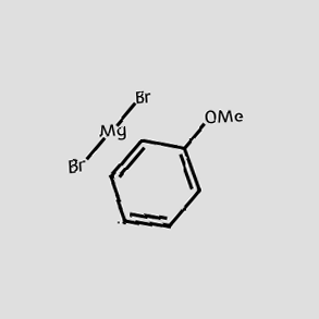 COc1cc[c]cc1.[Br][Mg][Br]